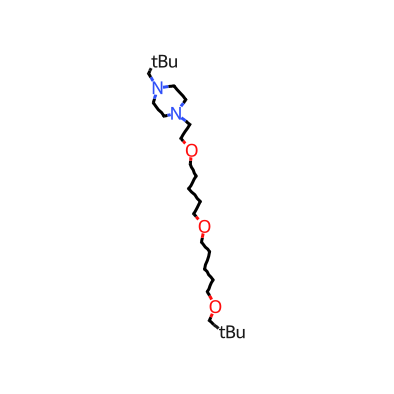 CC(C)(C)COCCCCCOCCCCCOCCN1CCN(CC(C)(C)C)CC1